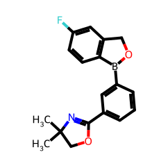 CC1(C)COC(c2cccc(B3OCc4cc(F)ccc43)c2)=N1